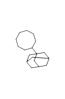 C1CCC[C](C23CC4CC(CC(C4)C2)C3)CCC1